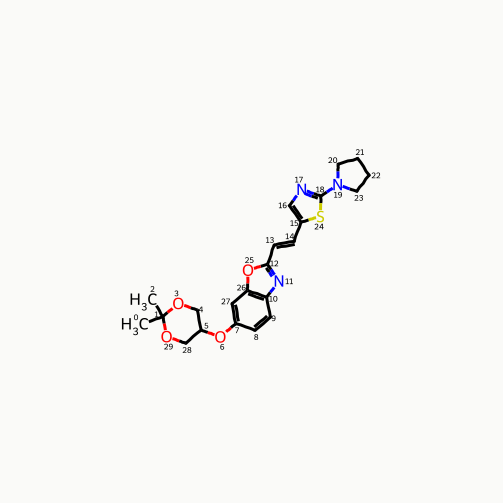 CC1(C)OCC(Oc2ccc3nc(/C=C/c4cnc(N5CCCC5)s4)oc3c2)CO1